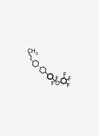 CCCC[C@H]1CC[C@H](C2CCC(c3ccc(C(F)(F)Oc4cc(F)c(F)c(F)c4)cc3)CC2)CC1